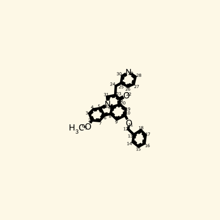 COc1ccc2c(c1)c1cc(OCc3ccccc3)cc3c(=O)c(Cc4cccnc4)cn2c31